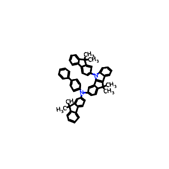 CC1(C)c2ccccc2-c2ccc(N(c3ccc(-c4ccccc4)cc3)c3ccc4c(c3)-c3c(c5ccccc5n3-c3ccc5c(c3)C(C)(C)c3ccccc3-5)C4(C)C)cc21